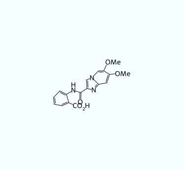 COc1cc2nc(C(=O)Nc3ccccc3C(=O)O)cn2cc1OC